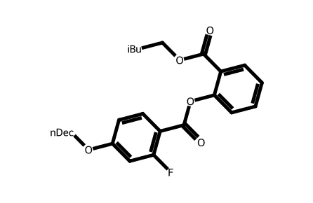 CCCCCCCCCCOc1ccc(C(=O)Oc2ccccc2C(=O)OCC(C)CC)c(F)c1